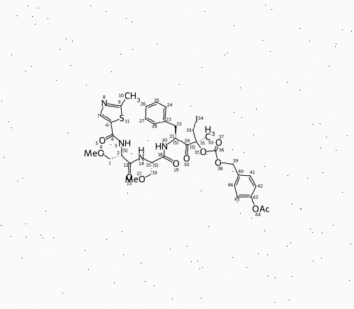 COC[C@H](NC(=O)c1cnc(C)s1)C(=O)N[C@@H](COC)C(=O)N[C@@H](Cc1ccccc1)C(=O)[C@@](C)(CI)OC(=O)OCc1ccc(OC(C)=O)cc1